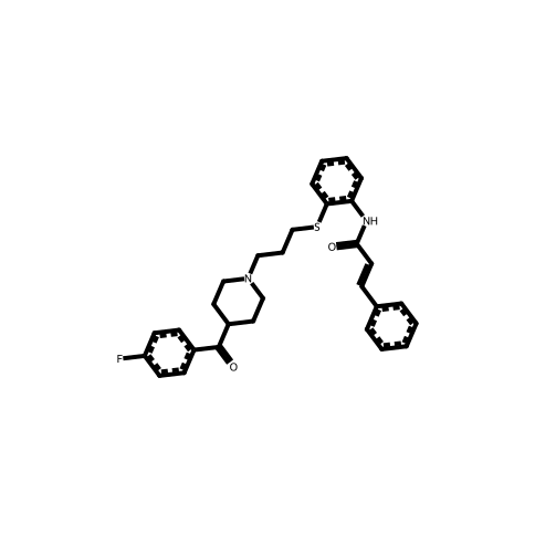 O=C(C=Cc1ccccc1)Nc1ccccc1SCCCN1CCC(C(=O)c2ccc(F)cc2)CC1